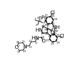 CCCC(C)(C)C[C@H]1N[C@@H](C(=O)NCCCN2CCOCC2)[C@H](c2cccc(Cl)c2F)[C@@]12C(=O)Nc1cc(Cl)ccc12